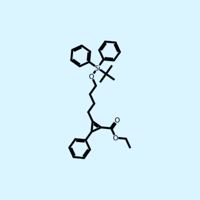 CCOC(=O)C1=C(CCCCO[Si](c2ccccc2)(c2ccccc2)C(C)(C)C)C1c1ccccc1